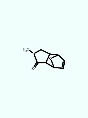 CN1CC2C3C=CC(O3)C2C1=O